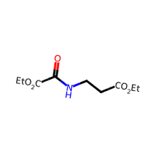 CCOC(=O)CCNC(=O)C(=O)OCC